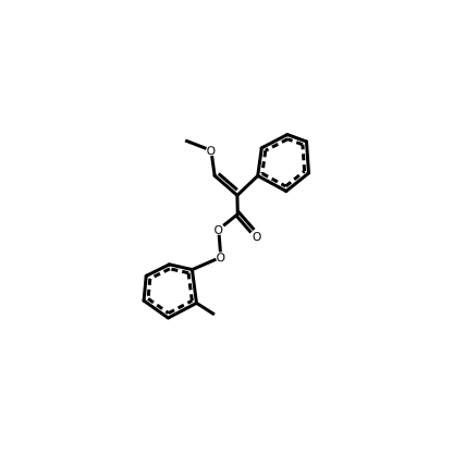 COC=C(C(=O)OOc1ccccc1C)c1ccccc1